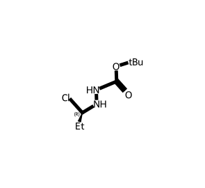 CC[C@@H](Cl)NNC(=O)OC(C)(C)C